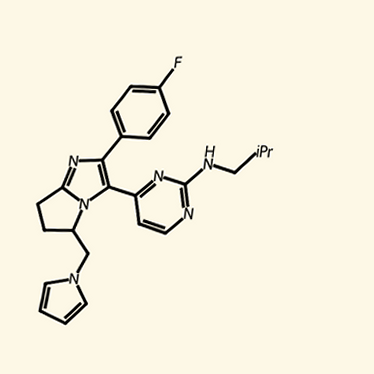 CC(C)CNc1nccc(-c2c(-c3ccc(F)cc3)nc3n2C(Cn2cccc2)CC3)n1